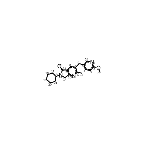 COc1ccc(Cc2cc3c(nc2C)CN(C2CCCCC2)C3=O)cn1